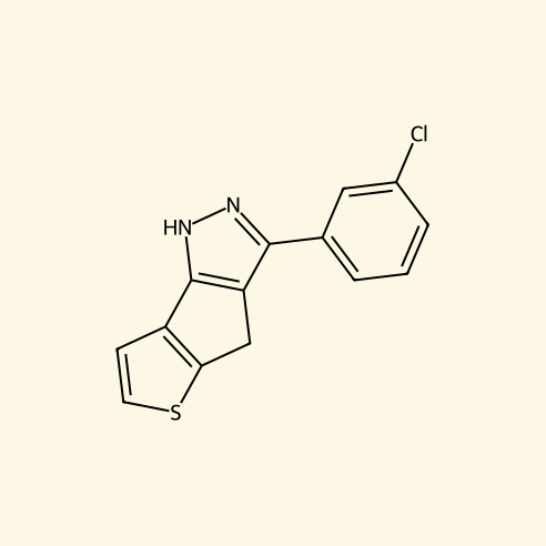 Clc1cccc(-c2n[nH]c3c2Cc2sccc2-3)c1